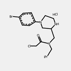 CC(C)CN(CC1CN(c2ccc(Br)cc2)CCN1)C(=O)CCl.Cl